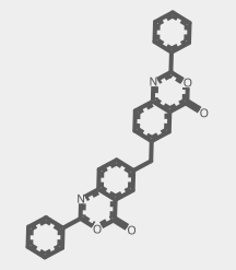 O=c1oc(-c2ccccc2)nc2ccc(Cc3ccc4nc(-c5ccccc5)oc(=O)c4c3)cc12